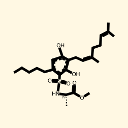 CCCCCc1cc(O)c(CC=C(C)CCC=C(C)C)c(O)c1S(=O)(=O)N[C@@H](C)C(=O)OC